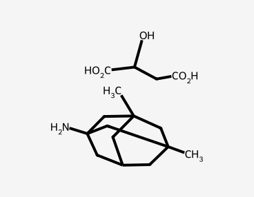 CC12CC3CC(C)(C1)CC(N)(C3)C2.O=C(O)CC(O)C(=O)O